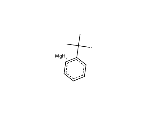 [CH2]C(C)(C)c1ccccc1.[MgH2]